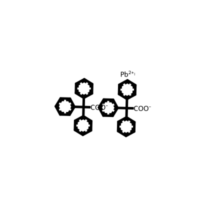 O=C([O-])C(c1ccccc1)(c1ccccc1)c1ccccc1.O=C([O-])C(c1ccccc1)(c1ccccc1)c1ccccc1.[Pb+2]